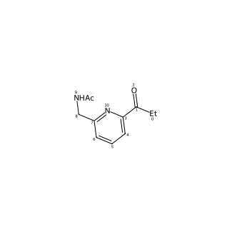 CCC(=O)c1cccc(CNC(C)=O)n1